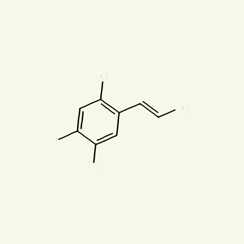 [CH2]/C=C/c1cc(Cl)c(Cl)cc1Cl